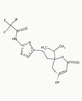 CC(C)C1(CCc2csc(NC(=O)C(F)(F)F)n2)CC(O)=CC(=O)O1